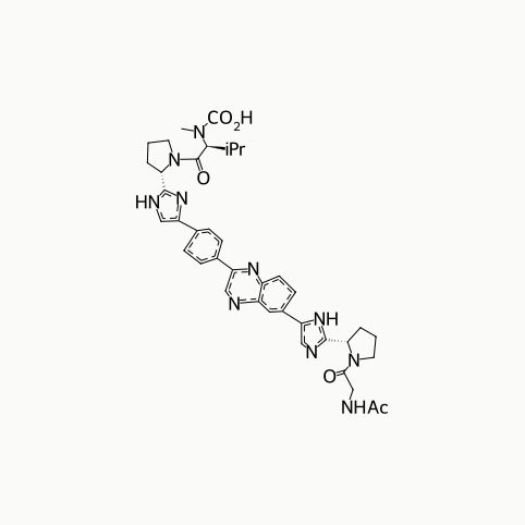 CC(=O)NCC(=O)N1CCC[C@H]1c1ncc(-c2ccc3nc(-c4ccc(-c5c[nH]c([C@@H]6CCCN6C(=O)[C@H](C(C)C)N(C)C(=O)O)n5)cc4)cnc3c2)[nH]1